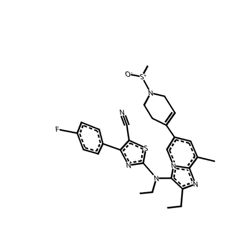 CCc1nc2c(C)cc(C3=CCN([S+](C)[O-])CC3)cn2c1N(CC)c1nc(-c2ccc(F)cc2)c(C#N)s1